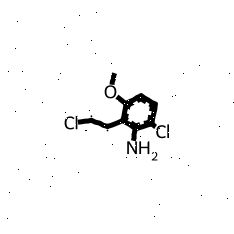 COc1ccc(Cl)c(N)c1[CH][CH]Cl